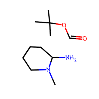 CC(C)(C)OC=O.CN1CCCCC1N